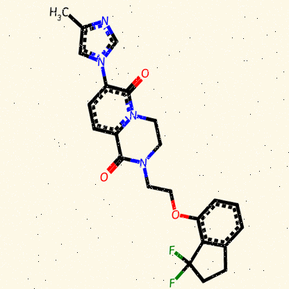 Cc1cn(-c2ccc3n(c2=O)CCN(CCOc2cccc4c2C(F)(F)CC4)C3=O)cn1